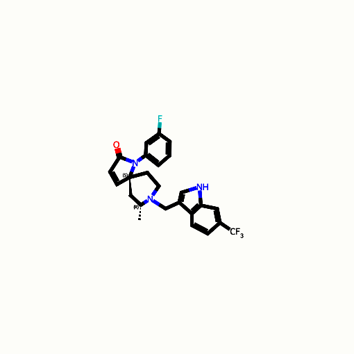 C[C@@H]1C[C@]2(C=CC(=O)N2c2cccc(F)c2)CCN1Cc1c[nH]c2cc(C(F)(F)F)ccc12